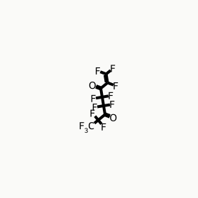 O=C(C(F)=C(F)F)C(F)(F)C(F)(F)C(=O)C(F)(F)C(F)(F)F